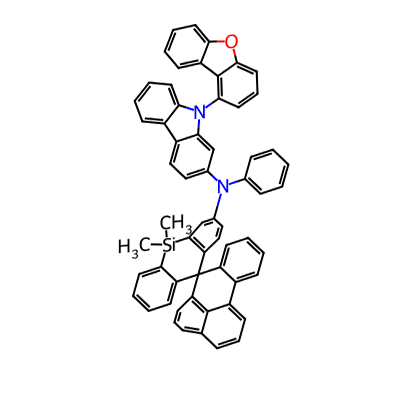 C[Si]1(C)c2ccccc2C2(c3ccccc3-c3cccc4cccc2c34)c2ccc(N(c3ccccc3)c3ccc4c5ccccc5n(-c5cccc6oc7ccccc7c56)c4c3)cc21